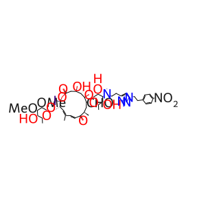 COC1C(OC[C@H]2/C=C(C)/C=C/C(=O)[C@H](C)C[C@H](C=O)[C@H](OC3OC(C)C(O)C(N(C)CCc4cn(CCc5ccc([N+](=O)[O-])cc5)nn4)C3O)[C@@H](C)[C@H](O)CC(=O)O[C@@H]2I)OC(C)C(O)C1OC